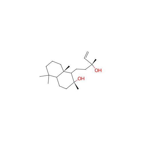 C=C[C@](C)(O)CCC1[C@@]2(C)CCCC(C)(C)C2CC[C@@]1(C)O